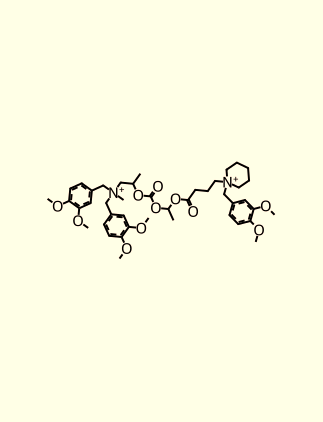 COc1ccc(C[N+](C)(Cc2ccc(OC)c(OC)c2)CC(C)OC(=O)OC(C)OC(=O)CCC[N+]2(Cc3ccc(OC)c(OC)c3)CCCCC2)cc1OC